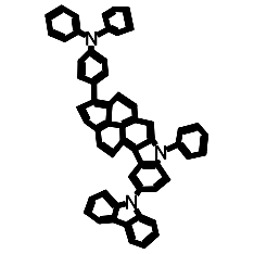 c1ccc(N(c2ccccc2)c2ccc(-c3ccc4ccc5c6c(ccc3c46)cc3c5c4cc(-n5c6ccccc6c6ccccc65)ccc4n3-c3ccccc3)cc2)cc1